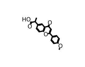 COc1ccc(-c2cc(=O)c3cc(C(C)C(=O)O)ccc3o2)cc1